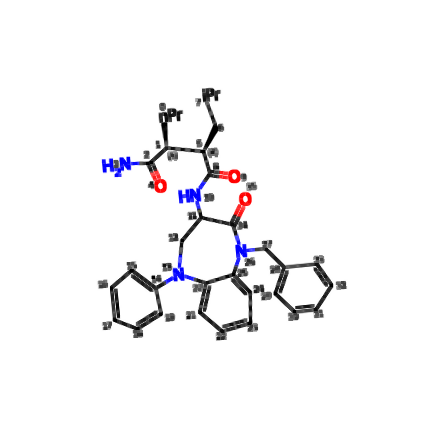 CCC[C@H](C(N)=O)[C@@H](CC(C)C)C(=O)NC1CN(c2ccccc2)c2ccccc2N(Cc2ccccc2)C1=O